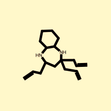 C=CCC1CC(CC=C)(CC=C)NC2CCCCC2N1